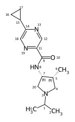 CC(C)N1C[C@@H](C)[C@@H](NC(=O)c2cnc(C3CC3)cn2)C1